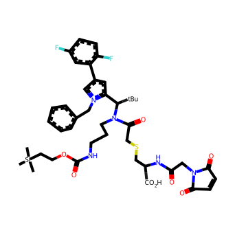 CC(C)(C)C(c1cc(-c2cc(F)ccc2F)cn1Cc1ccccc1)N(CCCNC(=O)OCC[Si](C)(C)C)C(=O)CSCC(NC(=O)CN1C(=O)C=CC1=O)C(=O)O